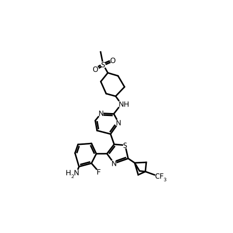 CS(=O)(=O)C1CCC(Nc2nccc(-c3sc(C45CC(C(F)(F)F)(C4)C5)nc3-c3cccc(N)c3F)n2)CC1